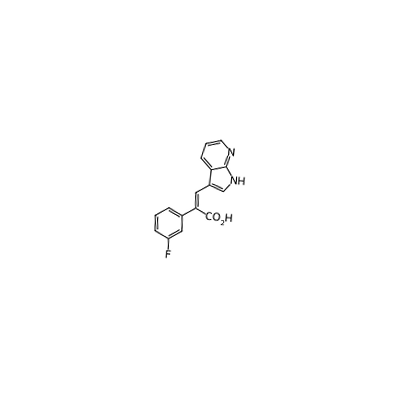 O=C(O)/C(=C\c1c[nH]c2ncccc12)c1cccc(F)c1